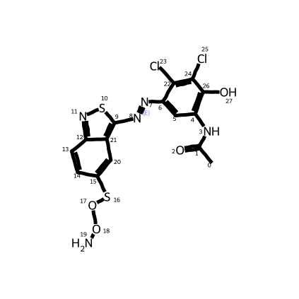 CC(=O)Nc1cc(/N=N/c2snc3ccc(SOON)cc23)c(Cl)c(Cl)c1O